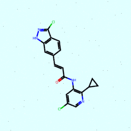 O=C(/C=C/c1ccc2c(Cl)n[nH]c2c1)Nc1cc(Cl)cnc1C1CC1